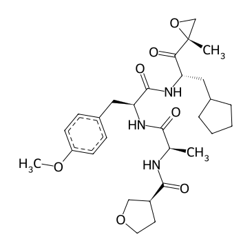 COc1ccc(C[C@H](NC(=O)[C@@H](C)NC(=O)[C@H]2CCOC2)C(=O)N[C@@H](CC2CCCC2)C(=O)[C@@]2(C)CO2)cc1